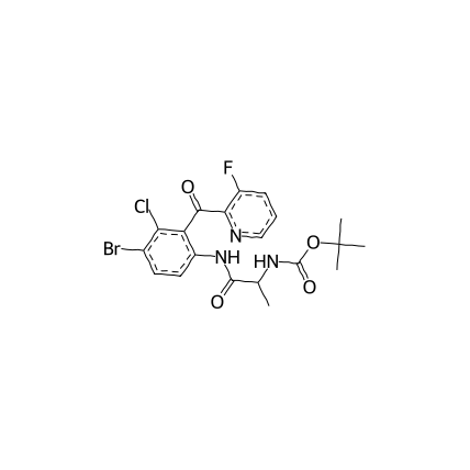 CC(NC(=O)OC(C)(C)C)C(=O)Nc1ccc(Br)c(Cl)c1C(=O)c1ncccc1F